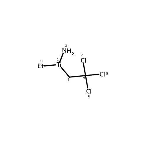 C[CH2][Ti]([NH2])[CH2]C(Cl)(Cl)Cl